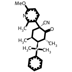 COc1ccc([C@]2(C#N)C[C@H](C)[C@H](S(C)(C)c3ccccc3)[C@@H](C)C2=O)c(C)n1